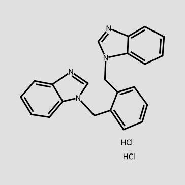 Cl.Cl.c1ccc(Cn2cnc3ccccc32)c(Cn2cnc3ccccc32)c1